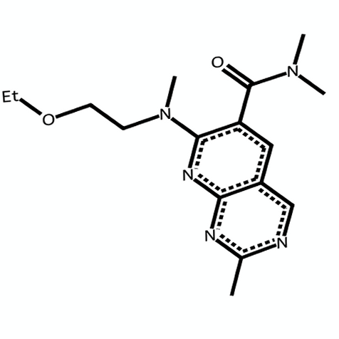 CCOCCN(C)c1nc2nc(C)ncc2cc1C(=O)N(C)C